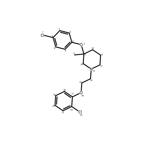 CC1(Oc2ccc(Cl)cc2)CCCN(CCOc2ccccc2Cl)C1